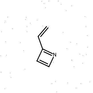 C=CC1=NC=C1